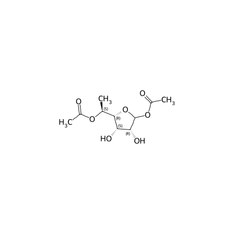 CC(=O)OC1O[C@@H]([C@H](C)OC(C)=O)[C@@H](O)[C@H]1O